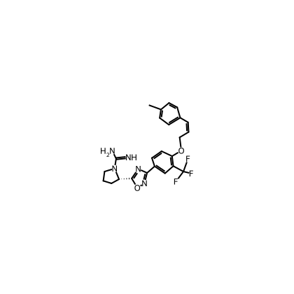 Cc1ccc(/C=C\COc2ccc(-c3noc([C@@H]4CCCN4C(=N)N)n3)cc2C(F)(F)F)cc1